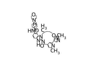 Cc1cc2cc(n1)-c1cnn(C)c1OCCCC(C)CN1/C(=N/C2=O)Nc2ccc(N[SH]3(=O)CCC(N4CCOCC4)CC3)cc21